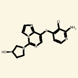 Nc1nccc(Sc2cnc(N3CC[C@@H](O)C3)n3ccnc23)c1Cl